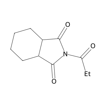 CCC(=O)N1C(=O)C2CCCCC2C1=O